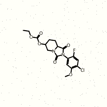 CCOC(=O)OC1CCC2C(=O)N(c3cc(OC)c(Cl)cc3F)C(=O)N2C1